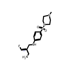 CN1CCN(S(=O)(=O)c2ccc(NC/C(=C\F)CN)cc2)CC1